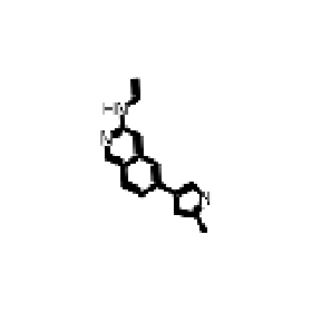 C=CNc1cc2cc(C3=CN=C(C)C3)ccc2cn1